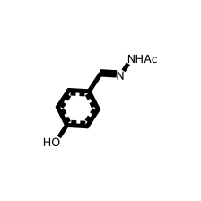 CC(=O)N/N=C/c1ccc(O)cc1